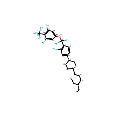 CC[C@H]1CC[C@H]([C@H]2CC[C@H](c3ccc(C(F)(F)Oc4cc(F)c(C(F)(F)F)c(F)c4)c(F)c3)CC2)CC1